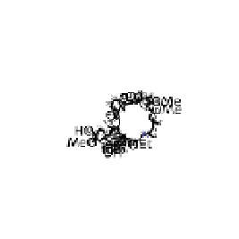 CCC1/C=C(\C)CC(C)CC(OC)C2OC(O)(C(=O)C(=O)N3CCCCC3C(=O)OC(C(C)=CC3(C(O)CO)CC[C@H](O)C(OC)C3)C(C)C(O[Si](C)(C)C(C)(C)C)CC1=O)C(C)CC2OC